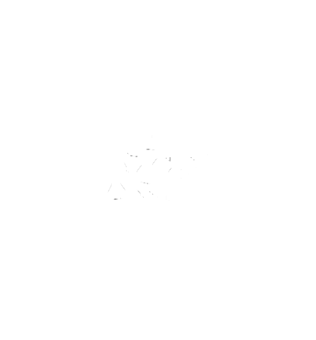 COc1cc2ncnc(-c3cn(C)nc3-c3ccccc3F)c2cc1NC(=O)C12CC1CN(C)C2